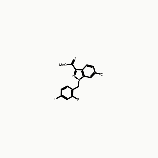 COC(=O)c1nn(Cc2ccc(F)cc2F)c2cc(Cl)ccc12